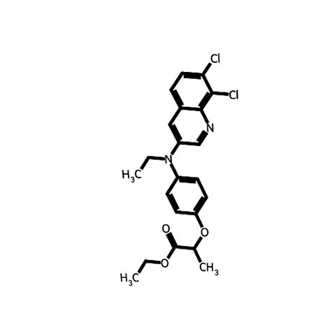 CCOC(=O)C(C)Oc1ccc(N(CC)c2cnc3c(Cl)c(Cl)ccc3c2)cc1